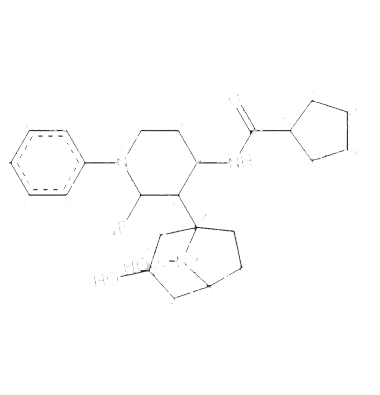 O=C(NC1CCN(c2ccccc2)C(F)C1C12CCC(CC(O)C1)N2C(=O)O)C1CCCC1